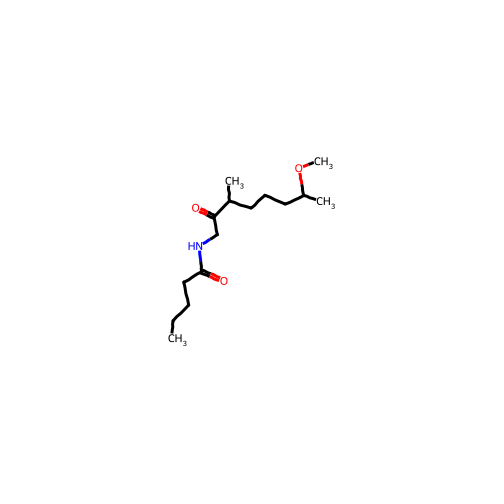 CCCCC(=O)NCC(=O)C(C)CCCC(C)OC